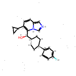 O[C@@H](c1c(C2CC2)ccc2cncn12)[C@H]1CC[C@H](c2ccc(F)cc2)CC1